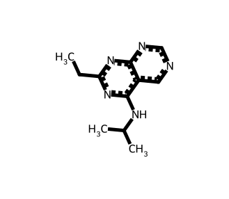 CCc1nc(NC(C)C)c2cncnc2n1